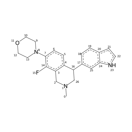 CN1Cc2c(ccc(N3CCOCC3)c2F)C(c2ccc3cc[nH]c3c2)C1